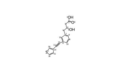 O=C(O)CC(O)Cc1cccc(C#Cc2ccsc2)c1